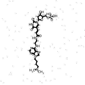 CN(C)CCCCn1cnc2c(NCCNC(=O)/C=C/c3cn(C4CC(O)C(COP(=O)(O)O)O4)c(=O)[nH]c3=O)ncnc21